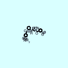 Nc1ccc([N+](=O)[O-])cc1C(=O)NCC(=O)N[C@@H]1CCCC[C@@H]1NC(=O)c1ccc(S(N)(=O)=O)cc1